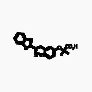 CCCCCN(Cc1cccc(OC(C)(C)C(=O)O)c1)c1nc2ccccc2o1